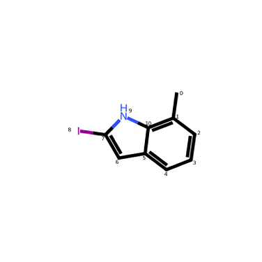 Cc1cccc2cc(I)[nH]c12